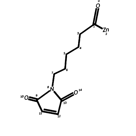 O=[C]([Zn])CCCCCN1C(=O)C=CC1=O